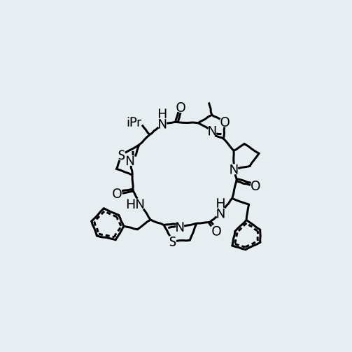 CC(C)C1NC(=O)C2N=C(OC2C)C2CCCN2C(=O)C(Cc2ccccc2)NC(=O)C2CSC(=N2)C(Cc2ccccc2)NC(=O)C2CSC1=N2